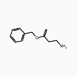 C=C(CCN)OCc1ccccc1